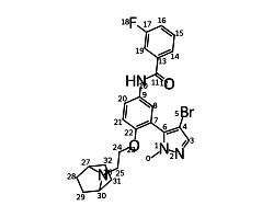 Cn1ncc(Br)c1-c1cc(NC(=O)c2cccc(F)c2)ccc1OCCN1C2CCC1CC2